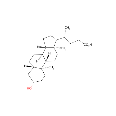 C[C@H](CCC(=O)O)[C@H]1CC[C@H]2[C@@H]3CC[C@H]4C[C@@H](O)CC[C@]4(C)[C@H]3CC[C@]12C